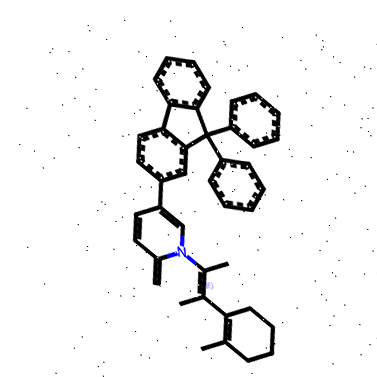 C=C1C=CC(c2ccc3c(c2)C(c2ccccc2)(c2ccccc2)c2ccccc2-3)=CN1/C(C)=C(\C)C1=C(C)CCCC1